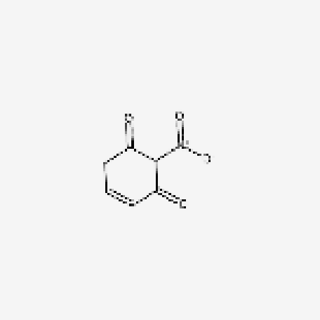 O=C1C=CCC(=O)C1[N+](=O)[O-]